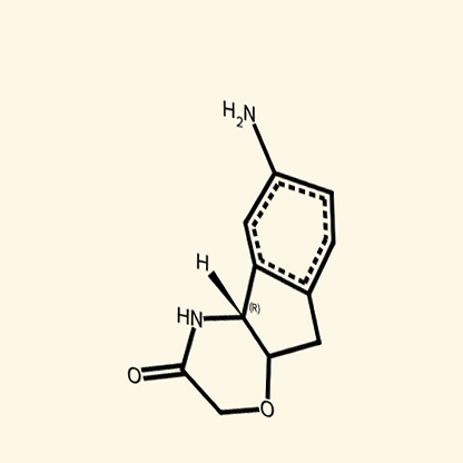 Nc1ccc2c(c1)[C@H]1NC(=O)COC1C2